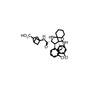 O=C(O)C1CC2(NC(=O)[C@@H]3NC4(CCCCC4)[C@@]4(C(=O)Nc5cc(Cl)ccc54)[C@H]3c3cccc(Cl)c3F)CC1C2